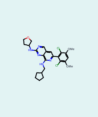 COc1cc(OC)c(Cl)c(-c2cc3cnc(NC4CCOC4)nc3c(NCC3CCCC3)n2)c1Cl